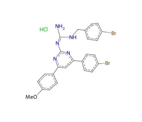 COc1ccc(-c2cc(-c3ccc(Br)cc3)nc(N=C(N)NCc3ccc(Br)cc3)n2)cc1.Cl